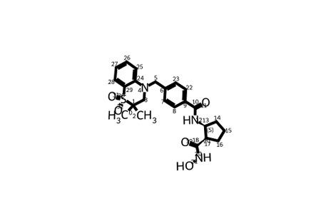 CC1(C)CN(Cc2ccc(C(=O)N[C@H]3CCC[C@H]3C(=O)NO)cc2)c2ccccc2S1(=O)=O